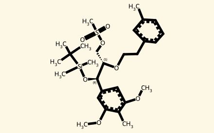 COc1cc([C@@H](O[Si](C)(C)C(C)(C)C)[C@H](COS(C)(=O)=O)OCCc2cccc(C)c2)cc(OC)c1C